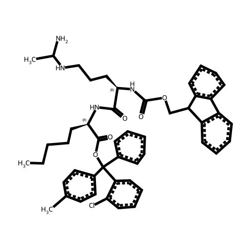 CCCCC[C@@H](NC(=O)[C@@H](CCCNC(C)N)NC(=O)OCC1c2ccccc2-c2ccccc21)C(=O)OC(c1ccccc1)(c1ccc(C)cc1)c1ccccc1Cl